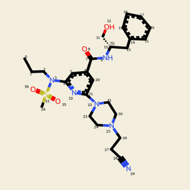 CCCN(c1cc(C(=O)N[C@H](CO)Cc2ccccc2)cc(N2CCN(CCC#N)CC2)n1)S(C)(=O)=O